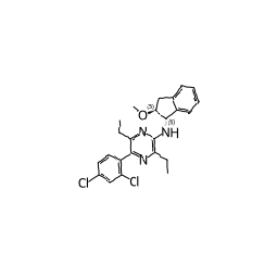 CCc1nc(-c2ccc(Cl)cc2Cl)c(CC)nc1N[C@H]1c2ccccc2C[C@@H]1OC